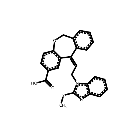 CSc1nc2ccccc2n1CC=C1c2ccccc2COc2ccc(C(=O)O)cc21